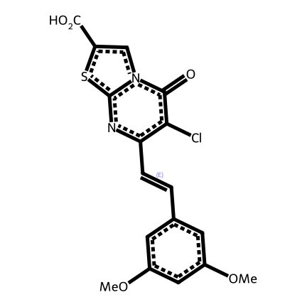 COc1cc(/C=C/c2nc3sc(C(=O)O)cn3c(=O)c2Cl)cc(OC)c1